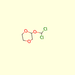 ClC(Cl)OC1COCCO1